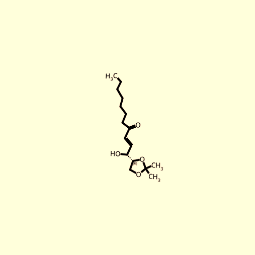 CCCCCCCC(=O)C=CC(O)[C@H]1COC(C)(C)O1